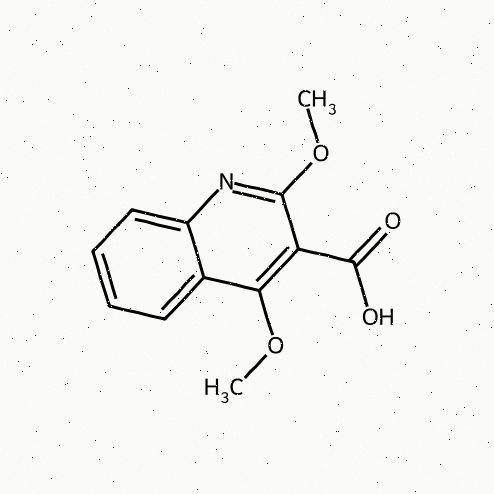 COc1nc2ccccc2c(OC)c1C(=O)O